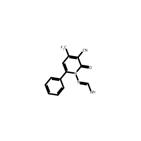 CCC/C=N/n1c(-c2ccccc2)cc(C(F)(F)F)c(C#N)c1=O